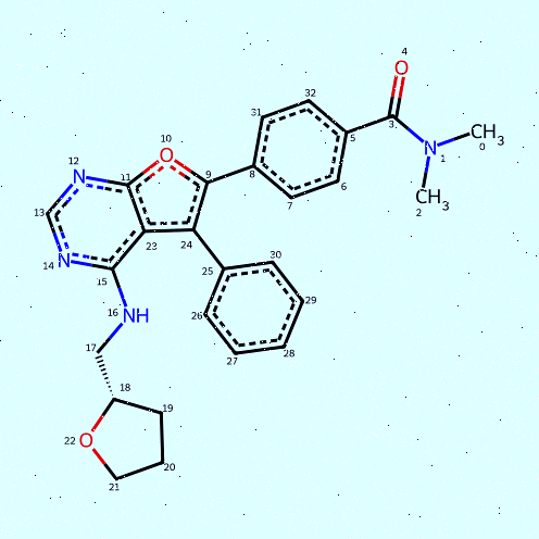 CN(C)C(=O)c1ccc(-c2oc3ncnc(NC[C@@H]4CCCO4)c3c2-c2ccccc2)cc1